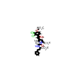 C[C@H](N[C@@H](CCc1ccccc1)C(=O)O)C(=O)N1CC(=CC(=O)c2ccc(OCC(=O)O)c(Cl)c2Cl)CC1C(=O)O